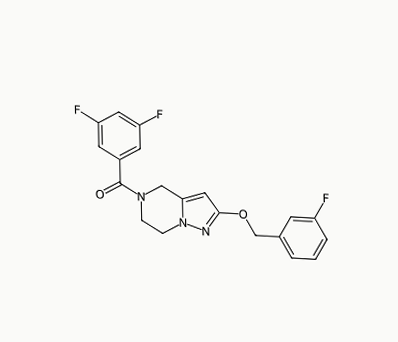 O=C(c1cc(F)cc(F)c1)N1CCn2nc(OCc3cccc(F)c3)cc2C1